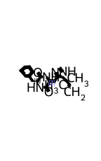 C=CC(C)(C)c1[nH]cnc1/C=C1\NC(=O)[C@H](Cc2ccccc2)NC1=O